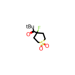 CC(C)(C)C(=O)C1(F)CCS(=O)(=O)CC1